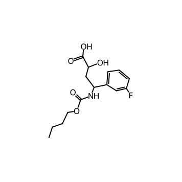 CCCCOC(=O)NC(CC(O)C(=O)O)c1cccc(F)c1